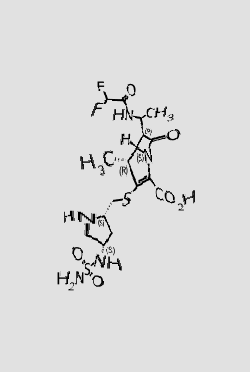 CC(NC(=O)C(F)F)[C@H]1C(=O)N2C(C(=O)O)=C(SC[C@@H]3C[C@H](NS(N)(=O)=O)CN3)[C@H](C)[C@H]12